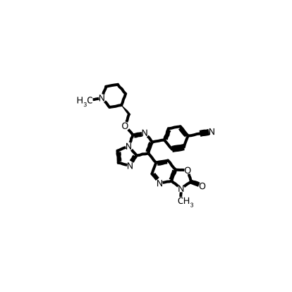 CN1CCC[C@@H](COc2nc(-c3c#cc(C#N)cc3)c(-c3cnc4c(c3)oc(=O)n4C)c3nccn23)C1